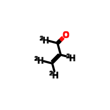 [2H]C(=O)C([2H])=C([2H])[2H]